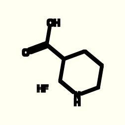 F.O=C(O)C1CCCNC1